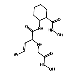 CC(C)/C=C/C(NCC(=O)NO)C(=O)NC1CCCCC1C(=O)NO